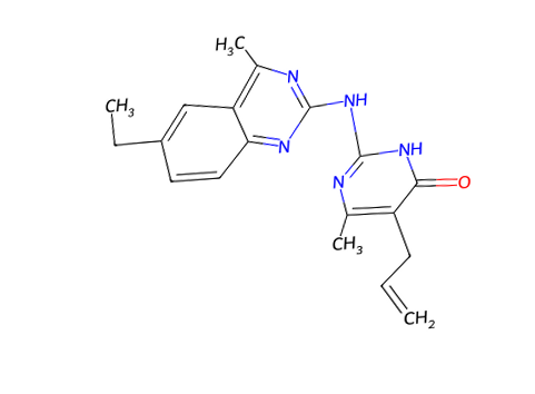 C=CCc1c(C)nc(Nc2nc(C)c3cc(CC)ccc3n2)[nH]c1=O